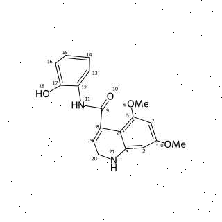 COc1cc2c(c(OC)c1)C(C(=O)Nc1ccccc1O)=CCN2